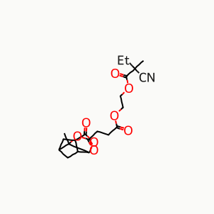 CCC(C)(C#N)C(=O)OCCOC(=O)CCC(=O)OC1(C)C2CC3C(=O)OC1C3C2